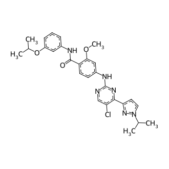 COc1cc(Nc2ncc(Cl)c(-c3ccn(C(C)C)n3)n2)ccc1C(=O)Nc1cccc(OC(C)C)c1